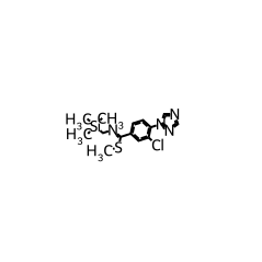 CSC(=NC[Si](C)(C)C)c1ccc(-n2cncn2)c(Cl)c1